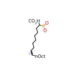 CCCCCCCC/C=C\CCCCCCC(C(=O)O)P(=O)=O